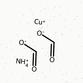 O=C[O-].O=C[O-].[Cu+].[NH4+]